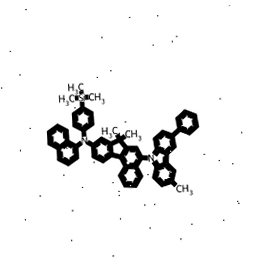 Cc1ccc2c(c1)c1cc(-c3ccccc3)ccc1n2-c1cc2c(c3ccccc13)-c1ccc(N(c3ccc([Si](C)(C)C)cc3)c3cccc4ccccc34)cc1C2(C)C